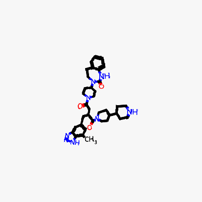 Cc1cc(CC(CC(=O)N2CCC(N3CCc4ccccc4NC3=O)CC2)C(=O)N2CCC(C3CCNCC3)CC2)cc2nn[nH]c12